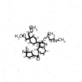 CNCCN(C)Cc1nn2c(c1C1CCC(COC)(COC)CC1)CN(C(=O)C1CCC(F)(F)C1)CC2